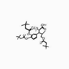 CC(COC(=O)CC(C)(C)C)C(c1ccc(OC(=O)CC(C)(C)C)c(OC(=O)CC(C)(C)C)c1)[C@H](N)C(=O)O